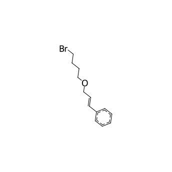 BrCCCCOCC=Cc1ccccc1